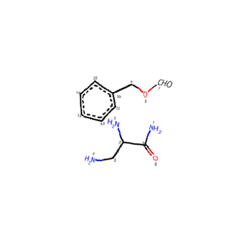 NCC(N)C(N)=O.O=COCc1ccccc1